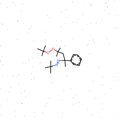 CC(C)(C)/N=N/C(C)(CC(C)(C)OOC(C)(C)C)c1ccccc1